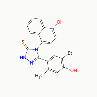 CCc1cc(-c2n[nH]c(=S)n2-c2ccc(O)c3ccccc23)c(C)cc1O